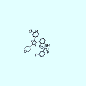 O=S(=O)(Nc1cccc(-c2nc(C3CCOCC3)sc2-c2ccnc(Cl)n2)c1F)c1cc(F)ccc1F